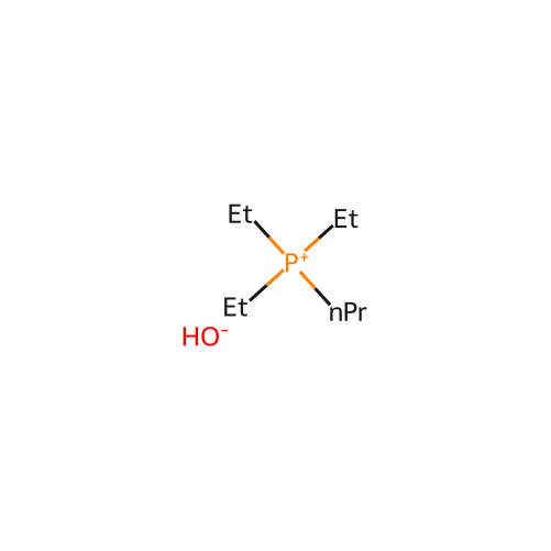 CCC[P+](CC)(CC)CC.[OH-]